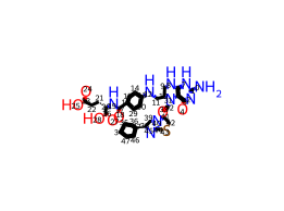 Nc1nc(=O)c2c([nH]1)NCC(CNc1ccc(C(=O)N[C@@H](CCC(=O)O)C(=O)O)cc1)N2C=O.c1ccc([C@H]2CN3CCSC3=N2)cc1